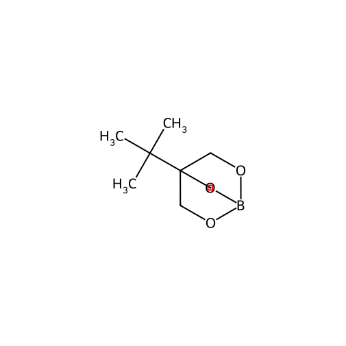 CC(C)(C)C12COB(OC1)OC2